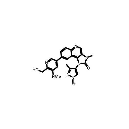 CCn1cc(-n2c(=O)n(C)c3cnc4ccc(-c5cnc(CO)c(NC)c5)cc4c32)c(C)n1